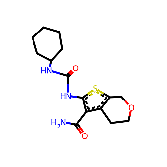 NC(=O)c1c(NC(=O)NC2CCCCC2)sc2c1CCOC2